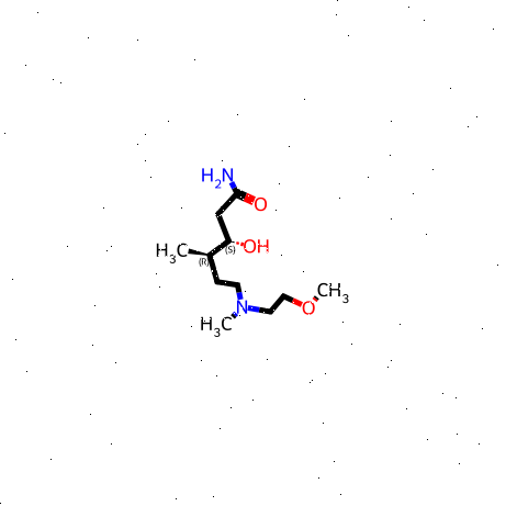 COCCN(C)CC[C@@H](C)[C@@H](O)CC(N)=O